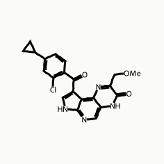 COCc1nc2c(cnc3[nH]cc(C(=O)c4ccc(C5CC5)cc4Cl)c32)[nH]c1=O